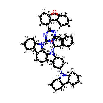 c1ccc(-c2nc(-c3cccc4oc5ccccc5c34)nc(-n3c4ccccc4c4ccc5c6cc(-n7c8ccccc8c8ccccc87)ccc6n(-c6ccccc6)c5c43)n2)cc1